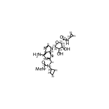 CNC(=O)N(Cc1nc(N)c2ncn([C@@H]3O[C@H](C(=O)NC4CC4)C(O)C3O)c2n1)C1CCC1